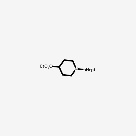 CCCCCCCN1CCC(C(=O)OCC)CC1